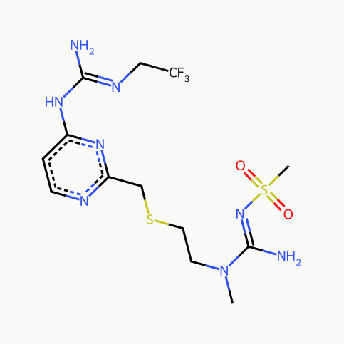 CN(CCSCc1nccc(NC(N)=NCC(F)(F)F)n1)C(N)=NS(C)(=O)=O